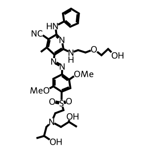 COc1cc(S(=O)(=O)CCN(CC(C)O)CC(C)O)c(OC)cc1/N=N/c1c(NCCOCCO)nc(Nc2ccccc2)c(C#N)c1C